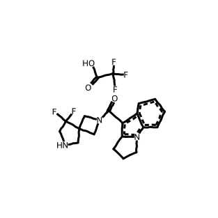 O=C(O)C(F)(F)F.O=C(c1c2n(c3ccccc13)CCC2)N1CC2(CNCC2(F)F)C1